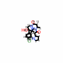 CC(=O)N1CCCC1CC(=O)NC(C)[C@@H](C)C(=O)N1CC[C@](O)(c2ccc(Cl)cc2)C(C)(C)C1